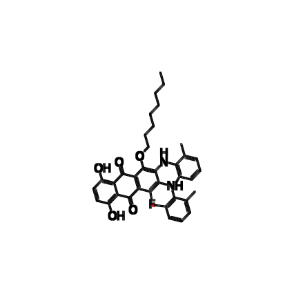 CCCCCCCCOc1c(Nc2c(C)cccc2C)c(Nc2c(C)cccc2C)c(F)c2c1C(=O)c1c(O)ccc(O)c1C2=O